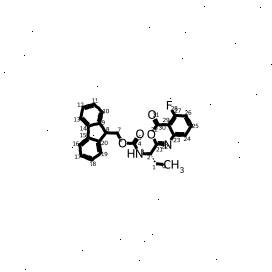 CC[C@H](NC(=O)OCC1c2ccccc2-c2ccccc21)c1nc2cccc(F)c2c(=O)o1